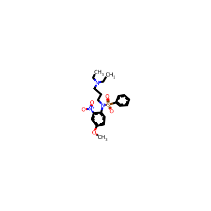 CCN(CC)CCCN(c1ccc(OC)cc1[N+](=O)[O-])S(=O)(=O)c1ccccc1